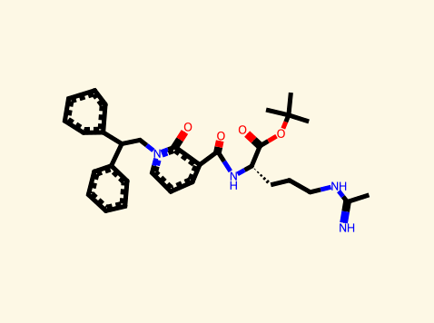 CC(=N)NCCC[C@H](NC(=O)c1cccn(CC(c2ccccc2)c2ccccc2)c1=O)C(=O)OC(C)(C)C